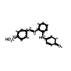 O=C1C=CC(Nc2ccccc2N=Nc2ccc(C(=O)O)cc2)=CC1